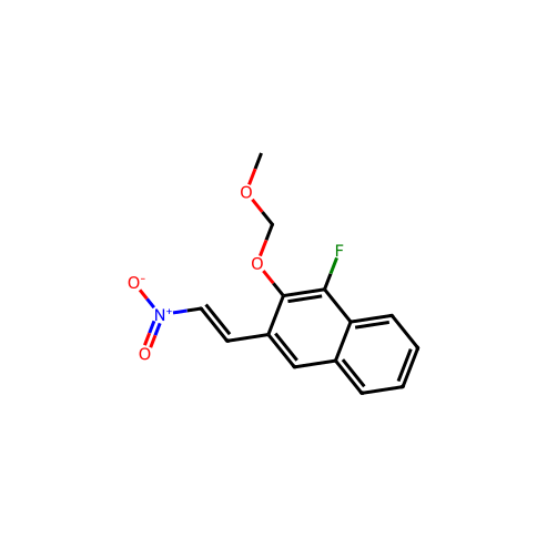 COCOc1c(C=C[N+](=O)[O-])cc2ccccc2c1F